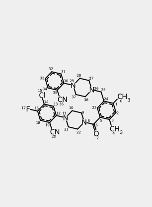 Cc1cc(C)c(C(=O)N2CCN(c3cc(Cl)c(F)cc3C#N)CC2)cc1CN1CCN(c2ccccc2C#N)CC1